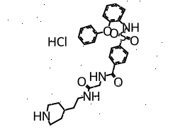 Cl.O=C(CNC(=O)c1ccc(S(=O)(=O)Nc2ccccc2Oc2ccccc2)cc1)NCCC1CCNCC1